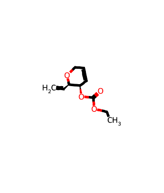 C=C[C@H]1OCC=C[C@H]1OC(=O)OCC